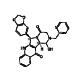 O=C1CN(Cc2ccccn2)C(O)[C@H]2c3c([nH]c4ccccc4c3=O)[C@@H](c3ccc4c(c3)OCO4)N12